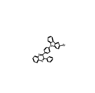 Brc1ccc2c(c1)c1ccccc1n2-c1ccc(-c2nc3ccccc3nc2-c2ccccc2)cc1